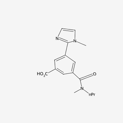 CCCN(C)C(=O)c1cc(C(=O)O)cc(-c2nccn2C)c1